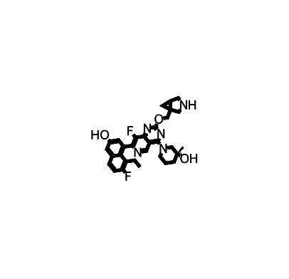 CCc1c(F)ccc2cc(O)cc(-c3ncc4c(N5CCC[C@@](C)(O)C5)nc(OCC56CNCC5C6)nc4c3F)c12